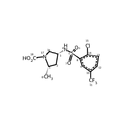 C[C@H]1C[C@@H](NS(=O)(=O)c2cc(C(F)(F)F)ccc2Cl)CN1C(=O)O